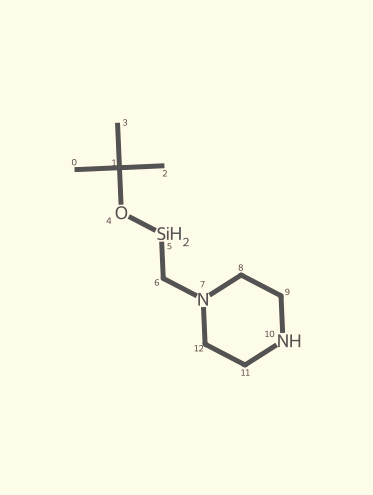 CC(C)(C)O[SiH2]CN1CCNCC1